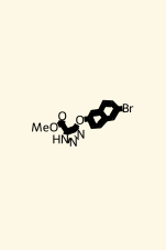 COC(=O)c1[nH]nnc1Oc1ccc2cc(Br)ccc2c1